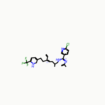 C=C/C(=C\CC(C)CN/C(=N\C(=C)C)c1ccc(Cl)nc1)CCC1=CC=C(C(F)(F)F)NC1